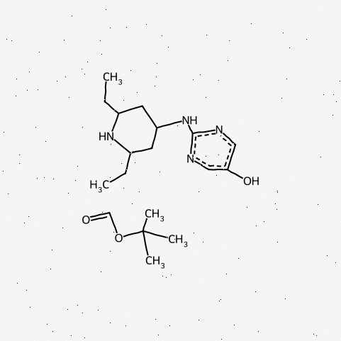 CC(C)(C)OC=O.CCC1CC(Nc2ncc(O)cn2)CC(CC)N1